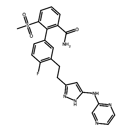 CS(=O)(=O)c1cccc(C(N)=O)c1-c1ccc(F)c(CCc2cc(Nc3cnccn3)[nH]n2)c1